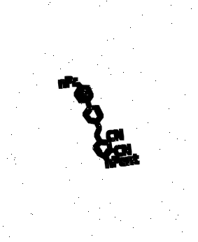 CCCCCc1ccc(CCc2ccc(C34CCC(CCC)(CC3)CC4)cc2)c(C#N)c1C#N